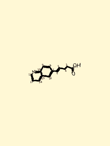 O=C(O)CC/C=C/c1ccc2ncccc2c1